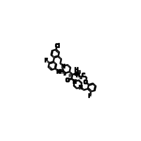 CCOc1cccc(F)c1CN1CCN(C(=O)[C@H](N)C2CCN(CCc3cc(Cl)ccc3-c3cc(N)ccc3F)CC2)CC1